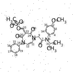 COc1ccc(N(C(=O)CN2C=CN(c3ccccc3)C(=O)/C(=C\OS(C)(=O)=O)C2=O)C(C)C)cc1